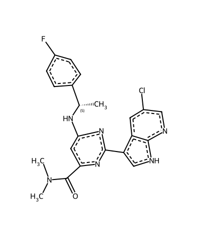 C[C@H](Nc1cc(C(=O)N(C)C)nc(-c2c[nH]c3ncc(Cl)cc23)n1)c1ccc(F)cc1